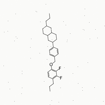 CCCc1ccc(OCc2ccc(C3CCC4CC(CCC)CCC4C3)cc2)c(F)c1F